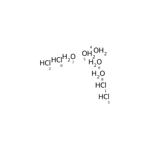 Cl.Cl.Cl.Cl.O.O.O.O.O